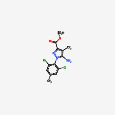 Nc1c(C(F)(F)F)c(C(=O)OS(=O)(=O)O)nn1-c1c(Cl)cc(C(F)(F)F)cc1Cl